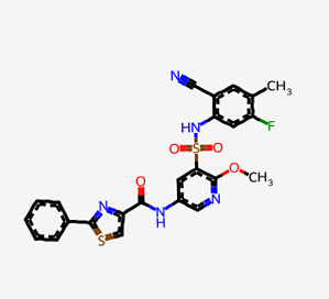 COc1ncc(NC(=O)c2csc(-c3ccccc3)n2)cc1S(=O)(=O)Nc1cc(F)c(C)cc1C#N